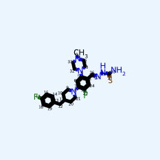 CN1CCN(c2cc(N3CCC(Cc4ccc(F)cc4)CC3)c(F)cc2/C=N/NC(N)=S)CC1